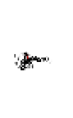 Cc1c(N2CCN(Cc3cccc([N+](=O)[O-])c3)CC2)c(=O)n(C[C@@H](N)c2ccccc2O)c(=O)n1Cc1c(F)cccc1C(F)(F)F